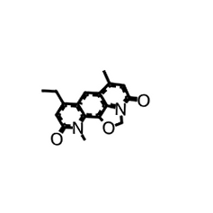 CCc1cc(=O)n(C)c2c3c4c(cc12)c(C)cc(=O)n4CO3